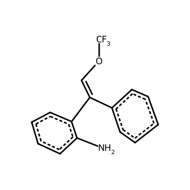 Nc1ccccc1C(=COC(F)(F)F)c1ccccc1